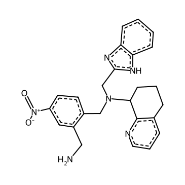 NCc1cc([N+](=O)[O-])ccc1CN(Cc1nc2ccccc2[nH]1)C1CCCc2cccnc21